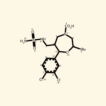 CC(C)(C)C1CN(C(=O)O)CC(CNS(N)(=O)=O)C(c2ccc(Cl)c(Cl)c2)O1